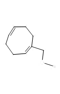 [Ir][O]CC1=CCCC=CCC1